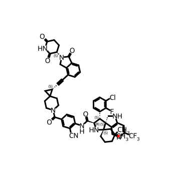 CC1(C)CCC[C@@]2(C1)N[C@@H](C(=O)Nc1ccc(C(=O)N3CCC4(CC3)C[C@@H]4C#Cc3cccc4c3CN([C@H]3CCC(=O)NC3=O)C4=O)cc1C#N)[C@H](c1cccc(Cl)c1F)[C@]21CNc2cc(C(F)(F)F)ncc21